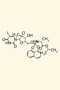 CC(C)OC(=O)[C@@H](C)N[P@@](=O)(OC[C@H]1OC(n2cc(I)c(=O)[nH]c2=O)[C@](C)(Cl)[C@@H]1O)Oc1cccc2ccccc12